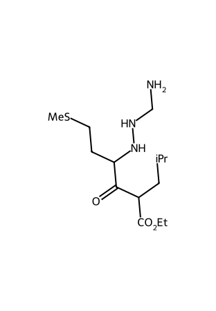 CCOC(=O)C(CC(C)C)C(=O)C(CCSC)NNCN